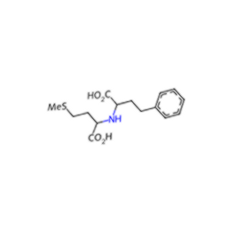 CSCCC(NC(CCc1ccccc1)C(=O)O)C(=O)O